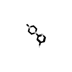 CN1CCN(c2cc(I)ccn2)CC1